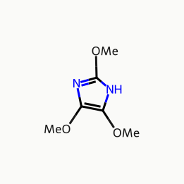 COc1nc(OC)c(OC)[nH]1